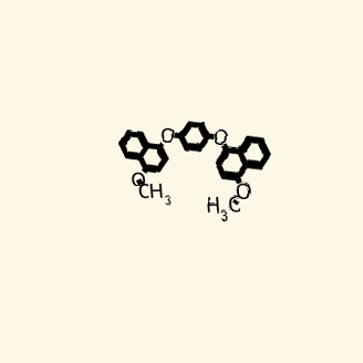 COc1ccc(Oc2ccc(Oc3ccc(OC)c4ccccc34)cc2)c2ccccc12